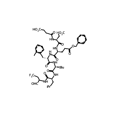 Cc1ccccc1C[C@H](NC(=O)[C@H](CCC(=O)OCc1ccccc1)NC(=O)[C@H](CC(=O)O)NC(=O)CCC(=O)O)C(=O)N[C@H](C(=O)N[C@@H](CC(C)C)C(=O)NC(C=O)CC(F)(F)F)C(C)(C)C